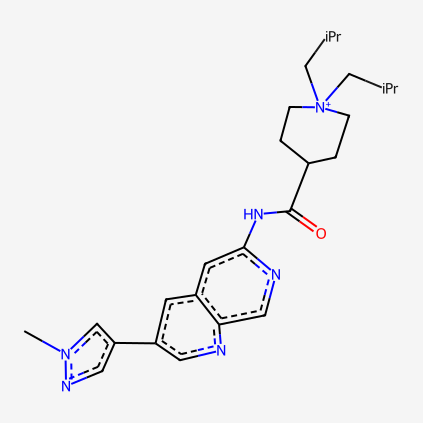 CC(C)C[N+]1(CC(C)C)CCC(C(=O)Nc2cc3cc(-c4cnn(C)c4)cnc3cn2)CC1